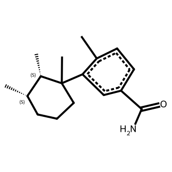 Cc1ccc(C(N)=O)cc1C1(C)CCC[C@H](C)[C@@H]1C